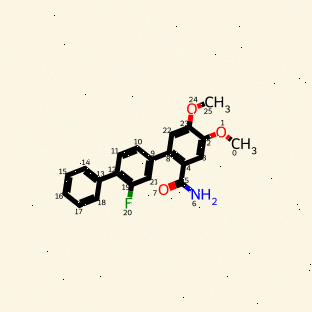 COc1cc(C(N)=O)c(-c2ccc(-c3ccccc3)c(F)c2)cc1OC